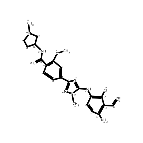 COc1cc(-c2nc(Nc3ccc(N)c(C=N)c3Cl)n(C)n2)ccc1C(=O)NC1CCN(C)C1